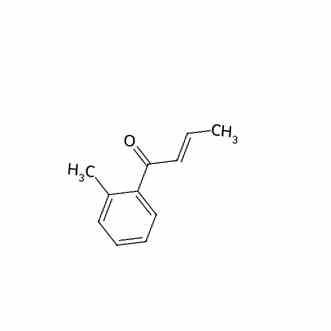 CC=CC(=O)c1ccccc1C